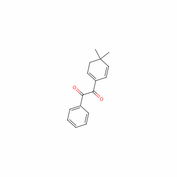 CC1(C)C=CC(C(=O)C(=O)c2ccccc2)=CC1